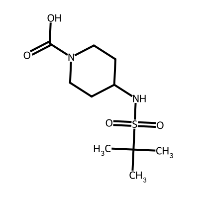 CC(C)(C)S(=O)(=O)NC1CCN(C(=O)O)CC1